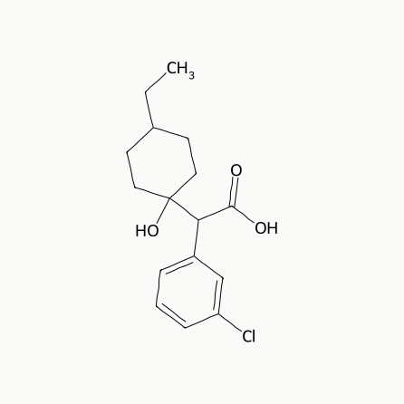 CCC1CCC(O)(C(C(=O)O)c2cccc(Cl)c2)CC1